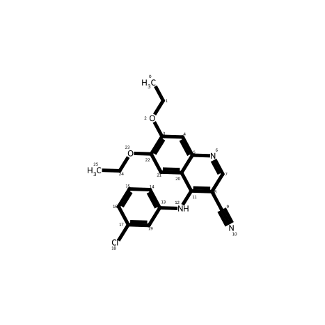 CCOc1cc2ncc(C#N)c(Nc3cccc(Cl)c3)c2cc1OCC